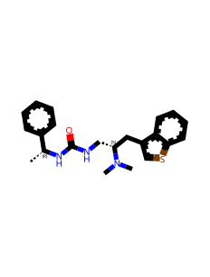 C[C@@H](NC(=O)NC[C@H](Cc1csc2ccccc12)N(C)C)c1ccccc1